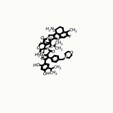 CC[C@@]1(N(C(=O)c2noc(-c3cc(C(C)C)c(O)cc3O)c2-c2ccc(CN3CCOCC3)cc2)[C@H](C(=O)O)C(C)C)C(=O)OCc2c1cc1n(c2=O)Cc2c-1nc1cc(F)c(C)c3c1c2[C@H](N)CC3